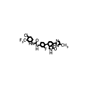 Cc1cnc(-c2ccc(-c3ccc(NC(=O)Nc4ccc(Cl)c(C(F)(F)F)c4)cc3F)c3c2C(=O)NC3)[nH]1